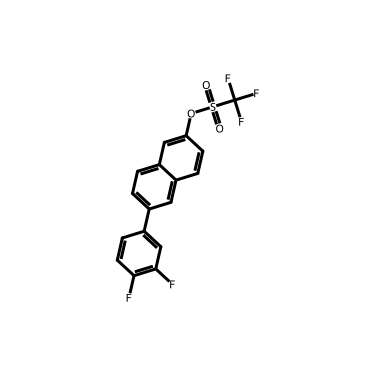 O=S(=O)(Oc1ccc2cc(-c3ccc(F)c(F)c3)ccc2c1)C(F)(F)F